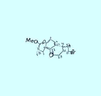 COC(=O)[C@@H](C)Cc1cccc2c1OCCC2(C)C(=O)CBr